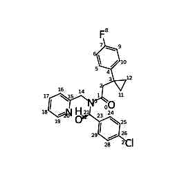 O=C(CC1(c2ccc(F)cc2)CC1)N(Cc1ccccn1)[C@H](O)c1ccc(Cl)cc1